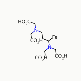 O=C(O)CN(CC[CH]([Fe])N(CC(=O)O)CC(=O)O)CC(=O)O